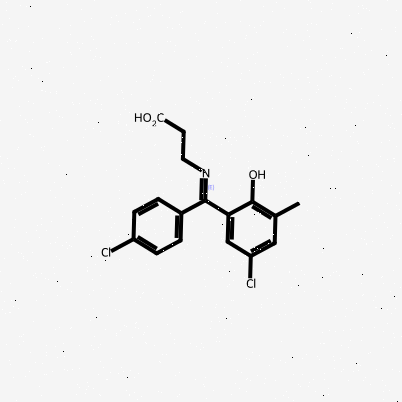 Cc1cc(Cl)cc(/C(=N/CCC(=O)O)c2ccc(Cl)cc2)c1O